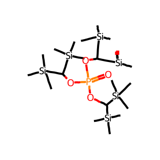 C[Si](C)(C)C(OP(=O)(OC([Si](C)(C)C)[Si](C)(C)C)OC([Si](C)(C)C)[Si](C)(C)C)[Si](C)(C)C